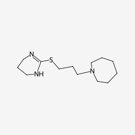 C1CCCN(CCCSC2=NCCCN2)CC1